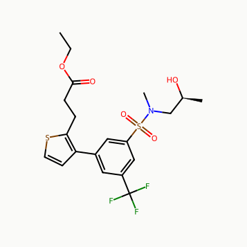 CCOC(=O)CCc1sccc1-c1cc(C(F)(F)F)cc(S(=O)(=O)N(C)C[C@H](C)O)c1